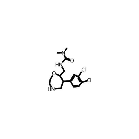 CN(C)C(=O)NCC1OCCNCC1c1ccc(Cl)c(Cl)c1